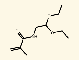 C=C(C)C(=O)NCC(OCC)OCC